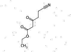 CCOC(=O)CC(=O)CCC#N